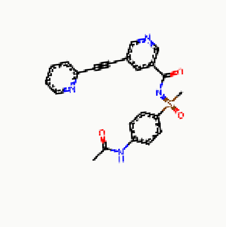 CC(=O)Nc1ccc(S(C)(=O)=NC(=O)c2cncc(C#Cc3ccccn3)c2)cc1